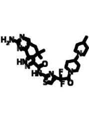 CC1CCN(C2CCN(C(=O)C(F)(F)c3csc(NC(=O)c4n[nH]c5c4C(C)(C)Cc4cnc(N)nc4-5)n3)CC2)CC1